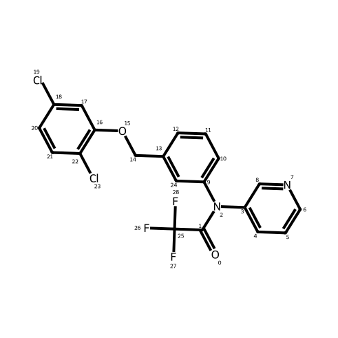 O=C(N(c1cccnc1)c1cccc(COc2cc(Cl)ccc2Cl)c1)C(F)(F)F